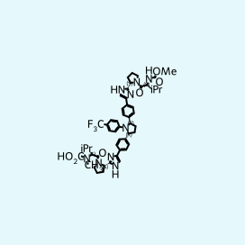 COC(=O)N[C@H](C(=O)N1CCC[C@H]1c1nc(-c2ccc([C@H]3CC[C@H](c4ccc(-c5c[nH]c([C@@H]6CCCN6C(=O)[C@H](C(C)C)N(C)C(=O)O)n5)cc4)N3c3ccc(C(F)(F)F)cc3)cc2)c[nH]1)C(C)C